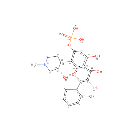 Bc1c(-c2ccccc2Cl)oc2c([C@H]3CCN(C)C[C@H]3O)c(OP(=O)(O)O)cc(O)c2c1=O